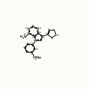 COc1cccc(-n2cc(C3=CCCC3)c3ncnc(N)c32)c1